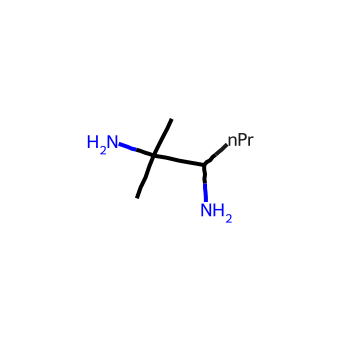 CCCC(N)C(C)(C)N